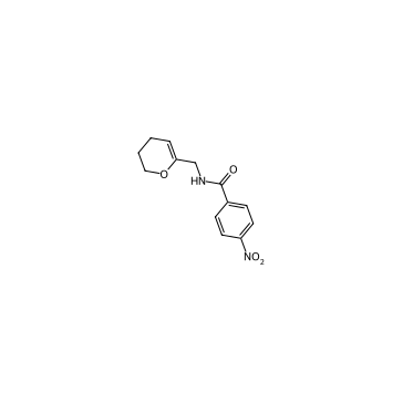 O=C(NCC1=CCCCO1)c1ccc([N+](=O)[O-])cc1